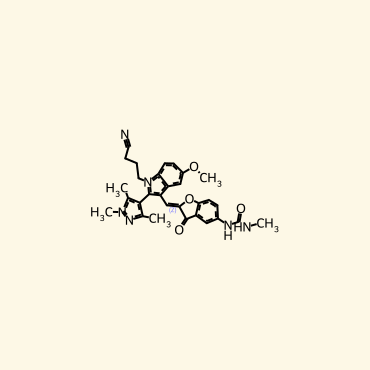 CNC(=O)Nc1ccc2c(c1)C(=O)/C(=C/c1c(-c3c(C)nn(C)c3C)n(CCCC#N)c3ccc(OC)cc13)O2